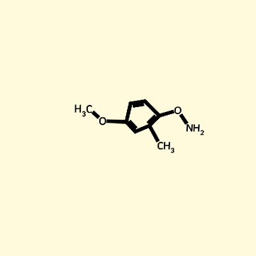 COc1ccc(ON)c(C)c1